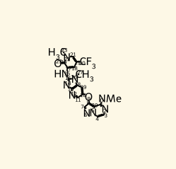 CNc1nccn2ncc(Oc3cnc4nc(Nc5cc(C(F)(F)F)cn(C)c5=O)n(C)c4c3)c12